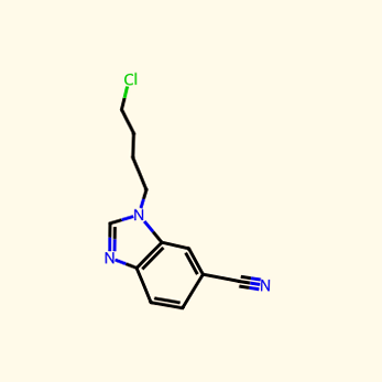 N#Cc1ccc2ncn(CCCCCl)c2c1